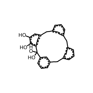 Oc1cc2cc(c1O)C(O)(O)c1cccc(c1)Cc1cccc(c1)Cc1cccc(c1)C2